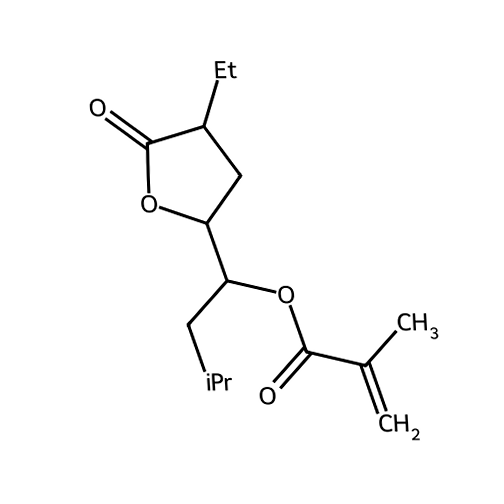 C=C(C)C(=O)OC(CC(C)C)C1CC(CC)C(=O)O1